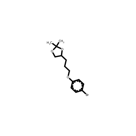 CC1(C)OCC(CCCOc2ccc(Br)cc2)O1